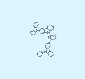 c1ccc(-n2c3ccccc3c3cc(-c4ccnc(-n5c6ccccc6c6cc(-n7c8ccccc8c8ccccc87)ccc65)n4)ccc32)cc1